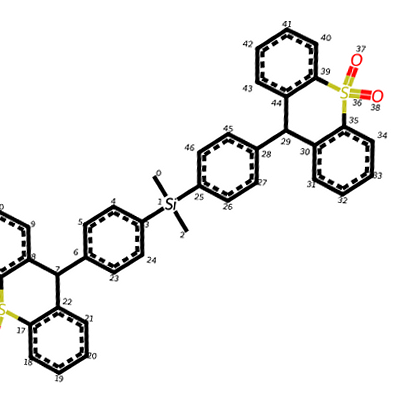 C[Si](C)(c1ccc(C2c3ccccc3S(=O)(=O)c3ccccc32)cc1)c1ccc(C2c3ccccc3S(=O)(=O)c3ccccc32)cc1